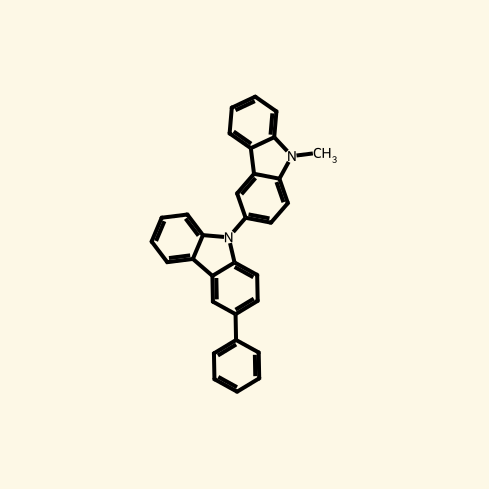 Cn1c2ccccc2c2cc(-n3c4ccccc4c4cc(-c5ccccc5)ccc43)ccc21